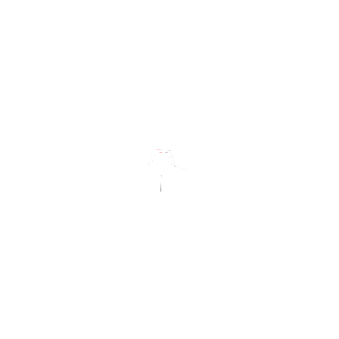 Cc1cocc1C